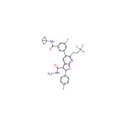 CNC(=O)c1c(-c2ccc(F)cc2)oc2nc(CCC(F)(F)F)c(-c3cc(F)cc(C(=O)NC45CC4C5)c3)cc12